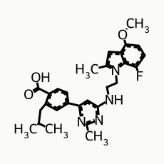 COc1ccc(F)c2c1cc(C)n2CCNc1cc(-c2ccc(C(=O)O)c(CC(C)C)c2)nc(C)n1